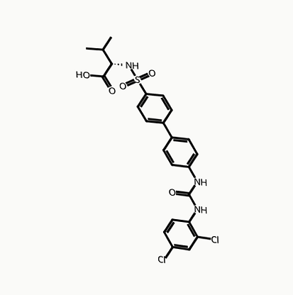 CC(C)[C@H](NS(=O)(=O)c1ccc(-c2ccc(NC(=O)Nc3ccc(Cl)cc3Cl)cc2)cc1)C(=O)O